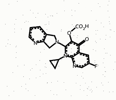 O=C(O)Oc1c(N2Cc3cccnc3C2)n(C2CC2)c2ncc(F)cc2c1=O